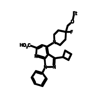 CCOCC1(F)CCN(c2cc(C(=O)O)nc3c2c(C2CCC2)nn3-c2ccccc2)CC1